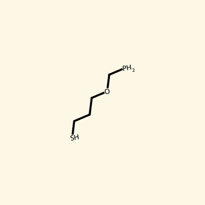 PCOCCCS